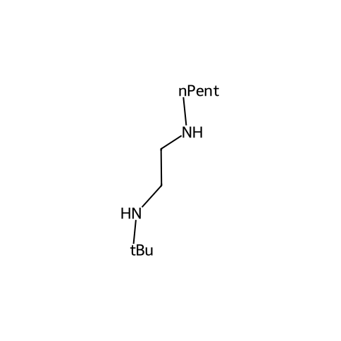 CCCCCNCCNC(C)(C)C